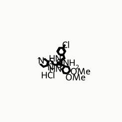 COC1CC(NC(=O)c2nc3c(s2)CN(C)CC3)C(N)(C(=O)c2cc3cc(Cl)ccc3[nH]2)CC1OC.Cl